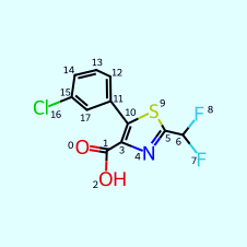 O=C(O)c1nc(C(F)F)sc1-c1cccc(Cl)c1